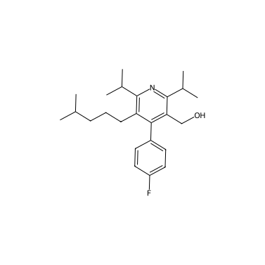 CC(C)CCCc1c(C(C)C)nc(C(C)C)c(CO)c1-c1ccc(F)cc1